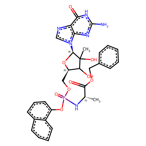 C[C@H](NP(=O)(OC[C@H]1O[C@@H](n2cnc3c(=O)[nH]c(N)nc32)C(C)(O)C1O)Oc1cccc2ccccc12)C(=O)OCc1ccccc1